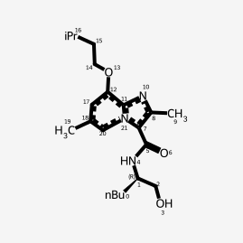 CCCC[C@H](CO)NC(=O)c1c(C)nc2c(OCCC(C)C)cc(C)cn12